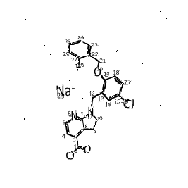 O=C([O-])c1ccnc2c1CCN2Cc1cc(Cl)ccc1OCc1ccccc1F.[Na+]